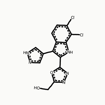 OCc1nnc(-c2[nH]c3c(Cl)c(Cl)ccc3c2-c2cn[nH]c2)o1